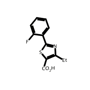 CCc1nc(-c2ccccc2F)sc1C(=O)O